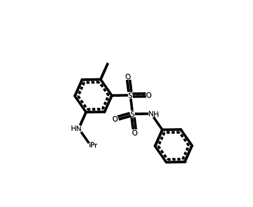 Cc1ccc(NC(C)C)cc1S(=O)(=O)S(=O)(=O)Nc1cc[c]cc1